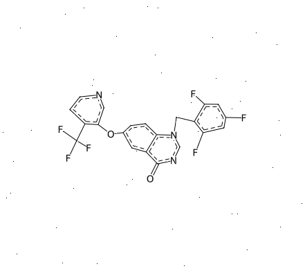 O=c1ncn(Cc2c(F)cc(F)cc2F)c2ccc(Oc3cnccc3C(F)(F)F)cc12